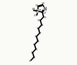 CCCCCCCCCCCCC1=NC=C[N+]1(C)C